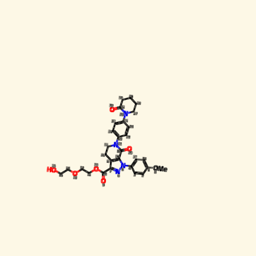 COc1ccc(-n2nc(C(=O)OCCOCCO)c3c2C(=O)N(c2ccc(N4CCCCC4=O)cc2)CC3)cc1